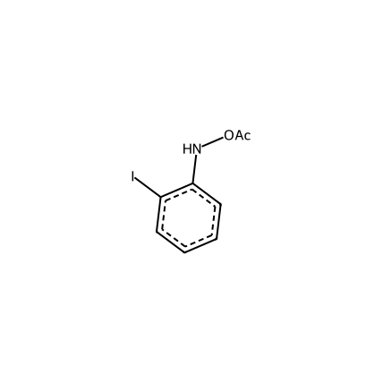 CC(=O)ONc1ccccc1I